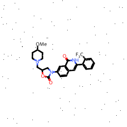 COC1CCN(CC2CN(c3ccc4cc(-c5ccccc5C(F)(F)F)[nH]c(=O)c4c3)C(=O)O2)CC1